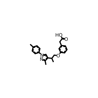 Cc1ccc(-n2cc(C(C)COc3cccc(CC(=O)O)c3)c(C)n2)cc1